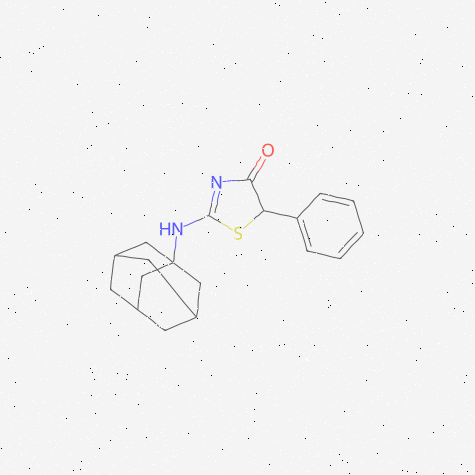 O=C1N=C(NC23CC4CC(CC(C4)C2)C3)SC1c1ccccc1